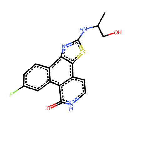 CC(CO)Nc1nc2c3ccc(F)cc3c3c(=O)[nH]ccc3c2s1